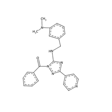 CN(C)c1cccc(CNc2nc(-c3ccncc3)nn2C(=O)c2ccccc2)c1